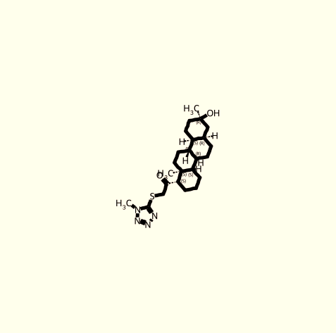 Cn1nnnc1SCC(=O)[C@H]1CCC[C@H]2[C@@H]3CC[C@@H]4C[C@](C)(O)CC[C@@H]4[C@H]3CC[C@]12C